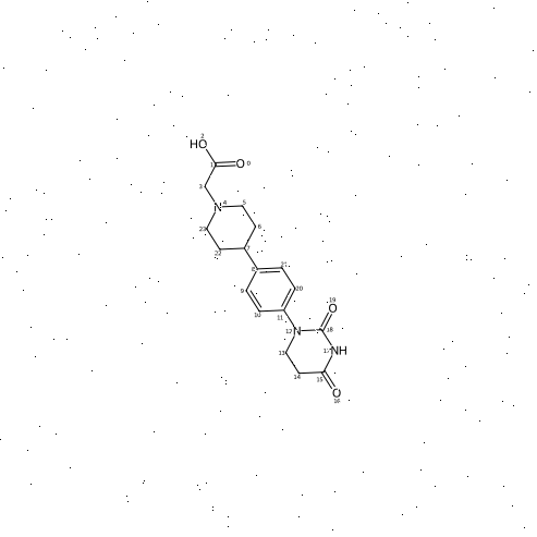 O=C(O)CN1CCC(c2ccc(N3CCC(=O)NC3=O)cc2)CC1